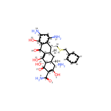 NC(=O)C1=C(O)[C@@H](N)[C@@H]2C[C@H]3C(=C(O)[C@]2(O)C1=O)C(=O)c1c(O)c(N)cc(N)c1[C@@H]3CSCc1ccccc1